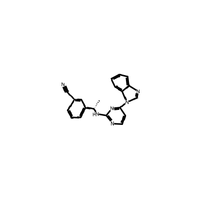 C[C@H](Nc1nccc(-n2cnc3ccccc32)n1)c1cccc(C#N)c1